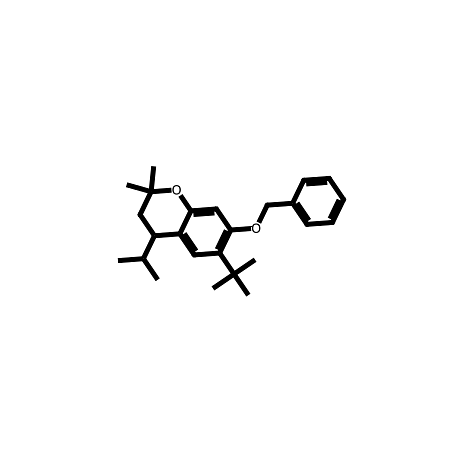 CC(C)C1CC(C)(C)Oc2cc(OCc3ccccc3)c(C(C)(C)C)cc21